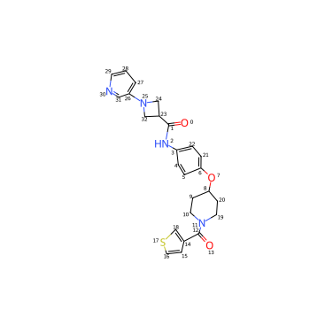 O=C(Nc1ccc(OC2CCN(C(=O)c3ccsc3)CC2)cc1)C1CN(c2cccnc2)C1